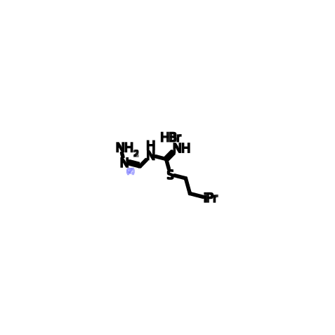 Br.CC(C)CCSC(=N)N/C=N\N